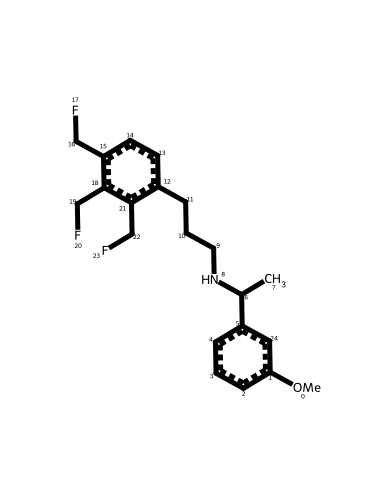 COc1cccc(C(C)NCCCc2ccc(CF)c(CF)c2CF)c1